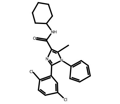 Cc1c(C(=O)NC2CCCCC2)nc(-c2cc(Cl)ccc2Cl)n1-c1ccccc1